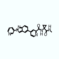 CNC(=O)C1(NC(=O)c2cc(-c3ccc4nn(-c5cccnc5)cc4c3)ccn2)CC1